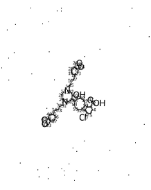 O=C(O)c1ccc(Cl)cc1.OC1CN(CCCCc2ccc3c(c2)OOC3)CCCN(CCCCc2ccc3c(c2)OOC3)CC1C1CCCCCCCC1